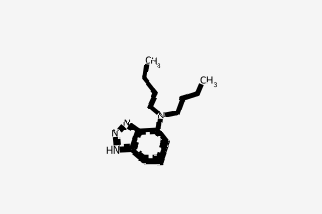 CCCCN(CCCC)c1cccc2[nH]nnc12